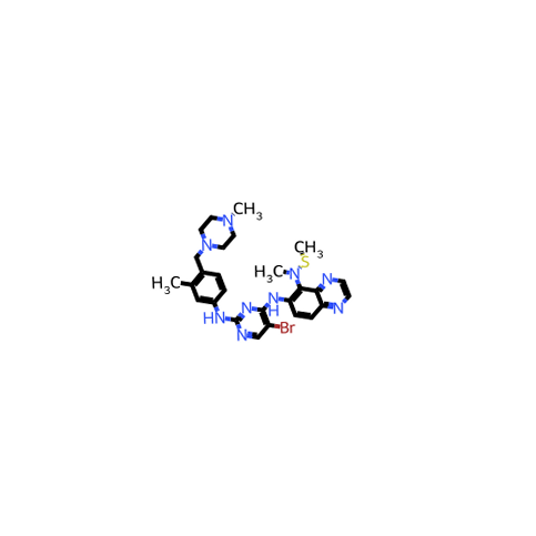 CSN(C)c1c(Nc2nc(Nc3ccc(CN4CCN(C)CC4)c(C)c3)ncc2Br)ccc2nccnc12